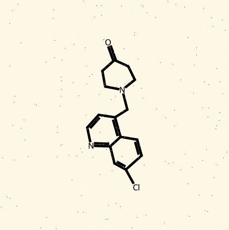 O=C1CCN(Cc2ccnc3cc(Cl)ccc23)CC1